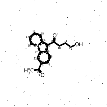 CC(=O)c1ccc2c(C(=O)CCCO)c3ccccn3c2c1